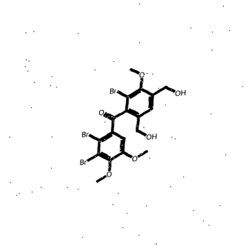 COc1cc(C(=O)c2c(CO)cc(CO)c(OC)c2Br)c(Br)c(Br)c1OC